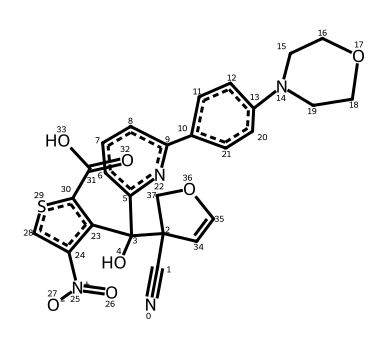 N#CC1(C(O)(c2cccc(-c3ccc(N4CCOCC4)cc3)n2)c2c([N+](=O)[O-])csc2C(=O)O)C=COC1